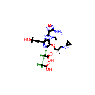 CCn1c(-c2nonc2N)nc2c(C#CC(C)(C)O)ncc(OC[C@@H](C)CNC3CC3)c21.O=C(O)C(F)(F)F.O=C(O)C(F)(F)F